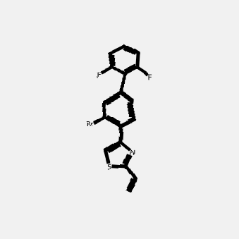 C=Cc1nc(-c2ccc(-c3c(F)cccc3F)cc2Br)cs1